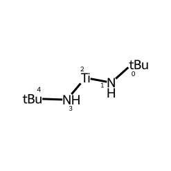 CC(C)(C)[NH][Ti][NH]C(C)(C)C